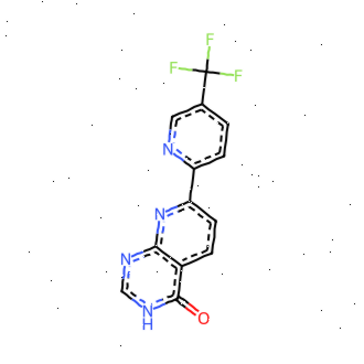 O=c1[nH]cnc2nc(-c3ccc(C(F)(F)F)cn3)ccc12